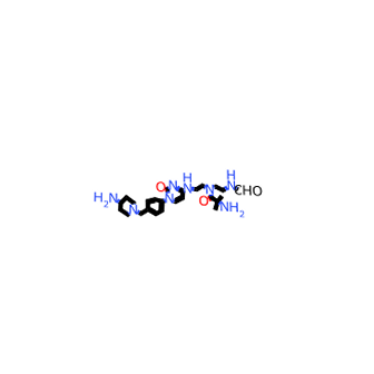 CC(C)(N)C(=O)N(CCNC=O)CCNc1ccn(-c2ccc(CN3CCC(N)CC3)cc2)c(=O)n1